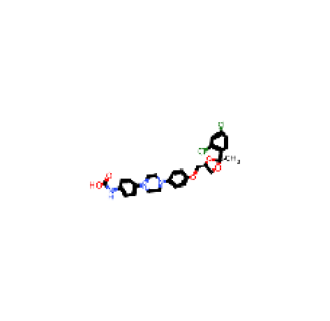 C[C@@]1(c2ccc(Cl)cc2Cl)OC[C@@H](COc2ccc(N3CCN(c4ccc(NC(=O)O)cc4)CC3)cc2)O1